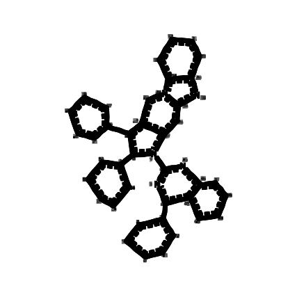 c1ccc(-c2nc(-n3c(-c4ccccc4)c(-c4ccccc4)c4cn5c(cc43)nc3ccccc35)nc3ccccc23)cc1